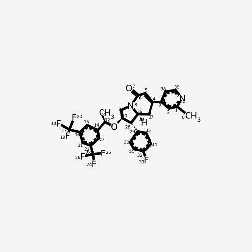 Cc1cc(C2=CC(=O)N3C[C@H](O[C@H](C)c4cc(C(F)(F)F)cc(C(F)(F)F)c4)[C@@H](c4ccc(F)cc4)[C@@H]3C2)ccn1